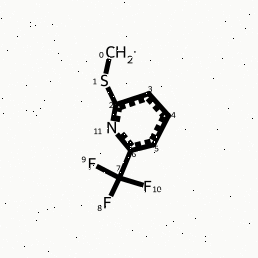 [CH2]Sc1cccc(C(F)(F)F)n1